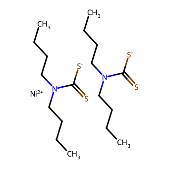 CCCCN(CCCC)C(=S)[S-].CCCCN(CCCC)C(=S)[S-].[Ni+2]